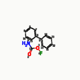 NC(=O)OF.c1ccc(-c2ccccc2)cc1